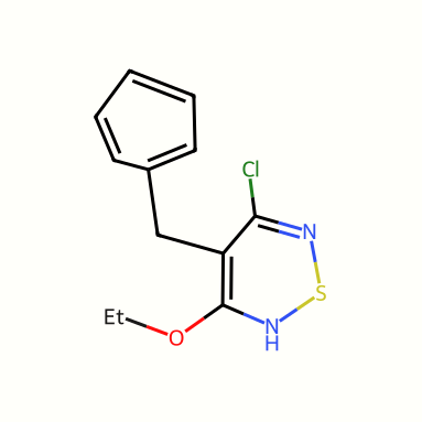 CCOC1=C(Cc2ccccc2)C(Cl)=NSN1